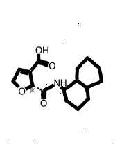 O=C(O)C1=CCO[C@H]1C(=O)NC1CCCC2CCCCC21